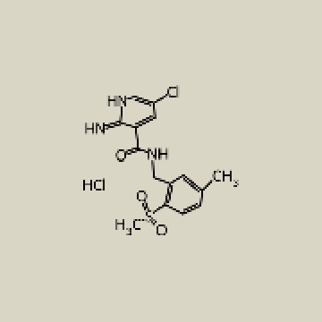 Cc1ccc(S(C)(=O)=O)c(CNC(=O)c2cc(Cl)c[nH]c2=N)c1.Cl